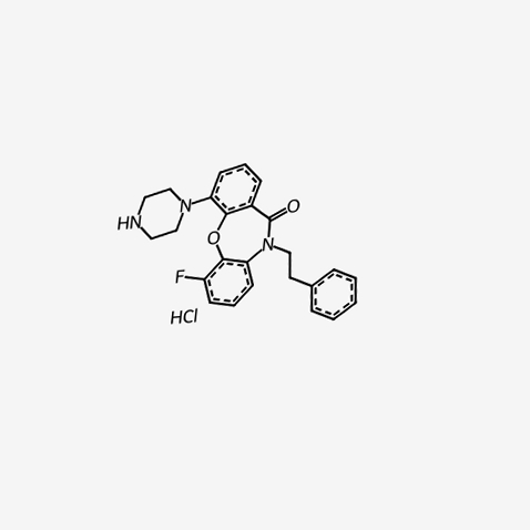 Cl.O=C1c2cccc(N3CCNCC3)c2Oc2c(F)cccc2N1CCc1ccccc1